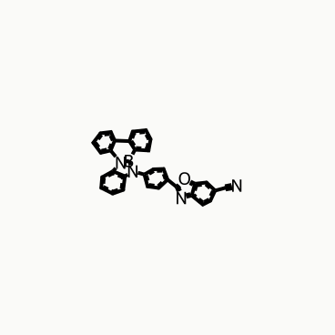 N#Cc1ccc2nc(-c3ccc(N4B5c6ccccc6-c6ccccc6N5c5ccccc54)cc3)oc2c1